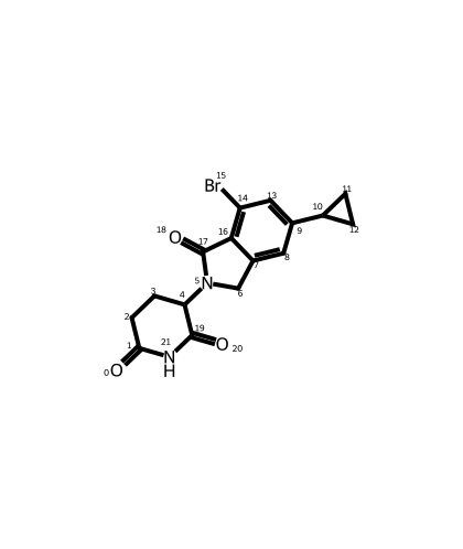 O=C1CCC(N2Cc3cc(C4CC4)cc(Br)c3C2=O)C(=O)N1